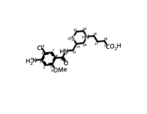 COc1cc(N)c(Cl)cc1C(=O)NCC1CN(CCCC(=O)O)CCS1